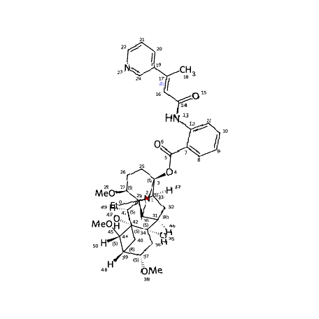 CCN1C[C@]2(OC(=O)c3ccccc3NC(=O)/C=C(\C)c3cccnc3)CC[C@H](OC)[C@]34C1[C@@H](C[C@H]23)[C@@]1(O)C[C@H](OC)[C@H]2C[C@@H]4[C@]1(O)[C@H]2OC